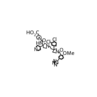 COc1ccc(C2C=NN=N2)cc1C(=O)N1CCC(CCN2CCC(NC(=O)N3CCC(C(=O)O)C3)(c3ccncc3)CC2)(c2ccc(Cl)c(Cl)c2)C1